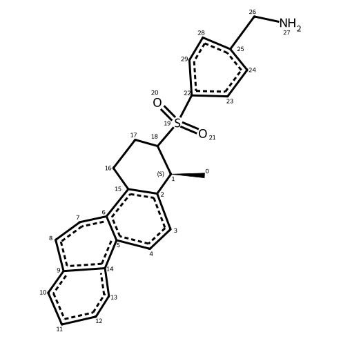 C[C@H]1c2ccc3c(ccc4ccccc43)c2CCC1S(=O)(=O)c1ccc(CN)cc1